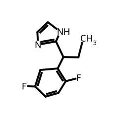 CCC(c1ncc[nH]1)c1cc(F)ccc1F